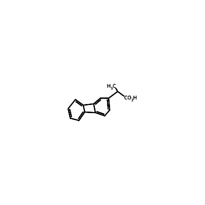 CC(C(=O)O)c1ccc2c(c1)-c1ccccc1-2